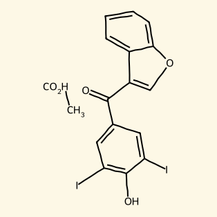 CC(=O)O.O=C(c1cc(I)c(O)c(I)c1)c1coc2ccccc12